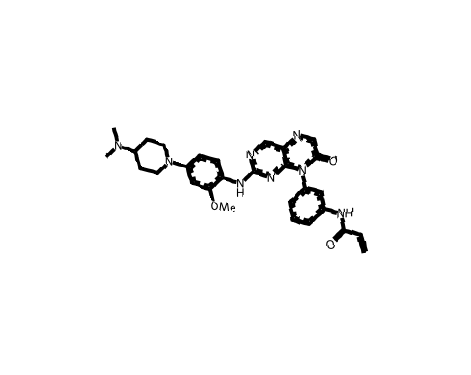 C=CC(=O)Nc1cccc(-n2c(=O)cnc3cnc(Nc4ccc(N5CCC(N(C)C)CC5)cc4OC)nc32)c1